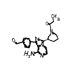 CCC(=O)N1CCC[C@@H](c2nc(-c3ccc(C=O)cc3)c3c(N)nccn23)C1